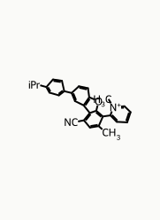 Cc1cc(C#N)c2c(oc3ccc(-c4ccc(C(C)C)cc4)cc32)c1-c1cccc[n+]1C